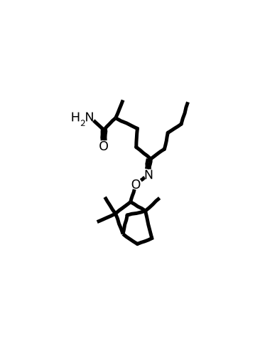 CCCCC(CCC(C)C(N)=O)=NOC1C2(C)CCC(C2)C1(C)C